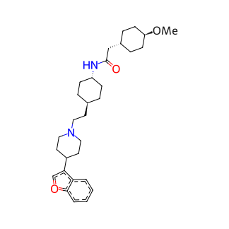 CO[C@H]1CC[C@H](CC(=O)N[C@H]2CC[C@H](CCN3CCC(c4coc5ccccc45)CC3)CC2)CC1